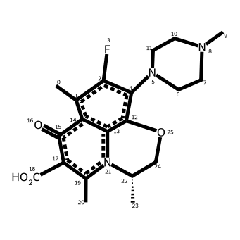 Cc1c(F)c(N2CCN(C)CC2)c2c3c1c(=O)c(C(=O)O)c(C)n3[C@@H](C)CO2